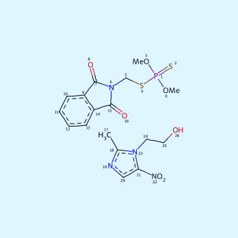 COP(=S)(OC)SCN1C(=O)c2ccccc2C1=O.Cc1ncc([N+](=O)[O-])n1CCO